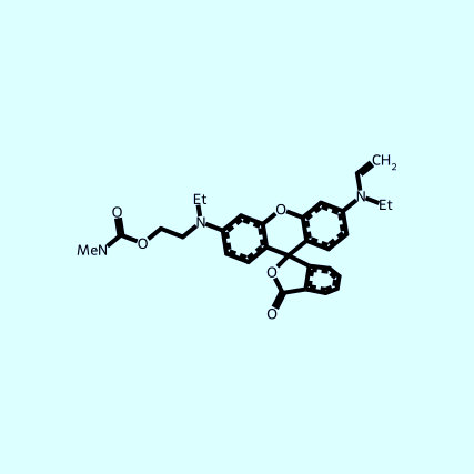 C=CN(CC)c1ccc2c(c1)Oc1cc(N(CC)CCOC(=O)NC)ccc1C21OC(=O)c2ccccc21